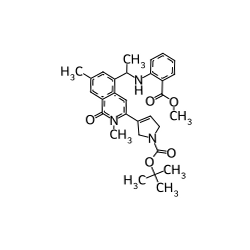 COC(=O)c1ccccc1NC(C)c1cc(C)cc2c(=O)n(C)c(C3=CCN(C(=O)OC(C)(C)C)C3)cc12